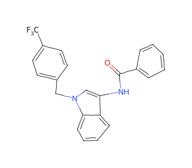 O=C(Nc1cn(Cc2ccc(C(F)(F)F)cc2)c2ccccc12)c1ccccc1